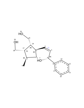 C[C@@H]1C[C@H](/C=C\[C@@H](O)c2ccccc2)[C@@H](CO)[C@H]1CO